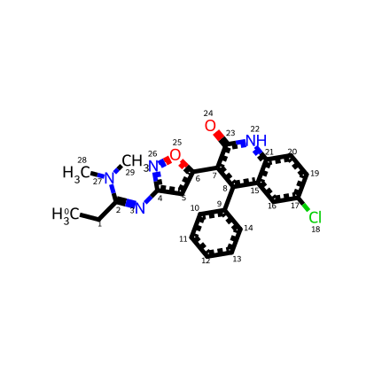 CC/C(=N/c1cc(-c2c(-c3ccccc3)c3cc(Cl)ccc3[nH]c2=O)on1)N(C)C